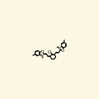 Cc1ccc2c(c1)N(C)C(=CC=C1CCCC(C=Cc3oc4ccc(C)cc4[n+]3C)=C1Cl)O2